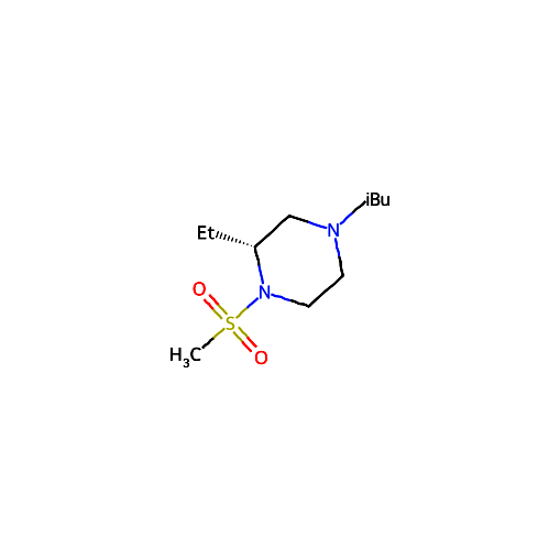 CCC(C)N1CCN(S(C)(=O)=O)[C@H](CC)C1